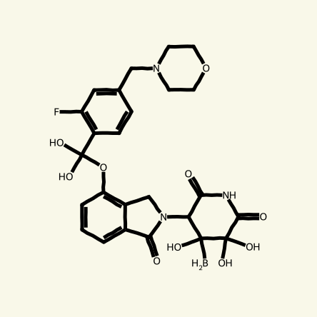 BC1(O)C(N2Cc3c(OC(O)(O)c4ccc(CN5CCOCC5)cc4F)cccc3C2=O)C(=O)NC(=O)C1(O)O